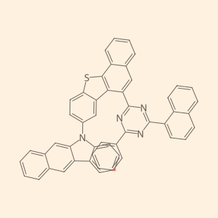 c1ccc(-c2nc(-c3cccc4ccccc34)nc(-c3cc4ccccc4c4sc5ccc(-n6c7ccccc7c7cc8ccccc8cc76)cc5c34)n2)cc1